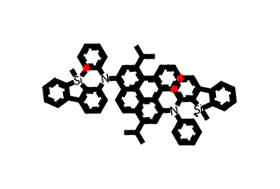 CC(C)c1cc(N(c2ccccc2)c2cccc3c2[Si](C)(C)c2ccccc2-3)c2c3ccccc3c3c(C(C)C)cc(N(c4ccccc4)c4cccc5c4[Si](C)(C)c4ccccc4-5)c4ccc1c2c43